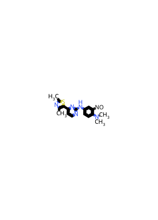 Cc1nc(C)c(-c2ccnc(Nc3ccc(N(C)C)c(N=O)c3)n2)s1